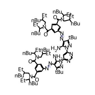 CCCCC(CC)CN(C(=O)c1cc(/N=N/c2c(C(C)(C)C)nn(-c3cc(-n4nc(C(C)(C)C)c(/N=N/c5cc(C(=O)N(CC(CC)CCCC)C(CC)CCCC)cc(C(=O)N(CC(CC)CCCC)C(CC)CCCC)c5)c4N)ncn3)c2N)cc(C(=O)N(CC(CC)CCCC)C(CC)CCCC)c1)C(CC)CCCC